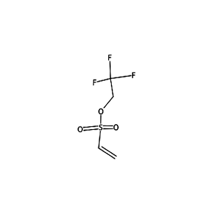 C=CS(=O)(=O)OCC(F)(F)F